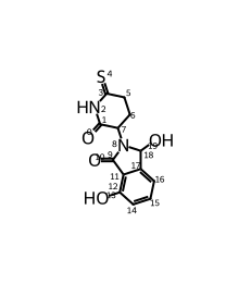 O=C1NC(=S)CCC1N1C(=O)c2c(O)cccc2C1O